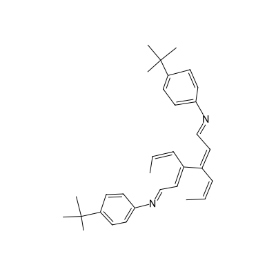 C\C=C/C(=C/C=N/c1ccc(C(C)(C)C)cc1)C(/C=C\C)=C/C=N/c1ccc(C(C)(C)C)cc1